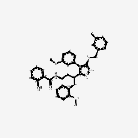 COc1cccc(-n2c(SCc3cccc(C)c3)nnc2C(CCNC(=O)c2ccccc2O)Cc2ccccc2OC)c1